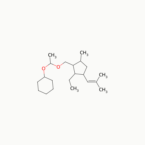 CCC1C(C=C(C)C)CC(C)C1COC(C)OC1CCCCC1